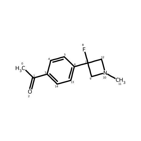 CC(=O)c1ccc(C2(F)CN(C)C2)cc1